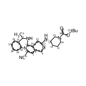 C[C@@H](Nc1nc(C#N)cc2cnc(N[C@H]3CCCN(C(=O)OC(C)(C)C)C3)cc12)c1ccccc1